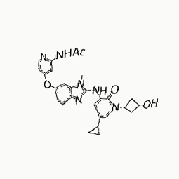 CC(=O)Nc1cc(Oc2ccc3nc(Nc4cc(C5CC5)cn([C@H]5C[C@@H](O)C5)c4=O)n(C)c3c2)ccn1